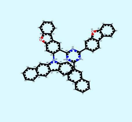 c1ccc2cc(-c3nc(-c4ccc5c(c4)oc4ccccc45)nc(-c4cc5c(cc4-n4c6ccccc6c6cc7ccccc7cc64)oc4ccccc45)n3)ccc2c1